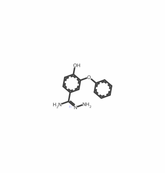 N/N=C(/N)c1ccc(O)c(Oc2ccccc2)c1